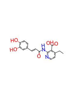 CCc1ccnc(NC(=O)C=Cc2ccc(O)c(O)c2)c1C(=O)O